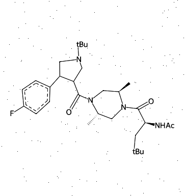 CC(=O)N[C@@H](CC(C)(C)C)C(=O)N1C[C@H](C)N(C(=O)C2CN(C(C)(C)C)CC2c2ccc(F)cc2)C[C@H]1C